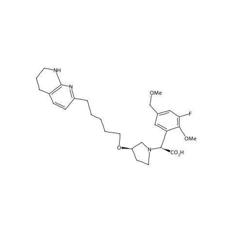 COCc1cc(F)c(OC)c([C@@H](C(=O)O)N2CC[C@@H](OCCCCCc3ccc4c(n3)NCCC4)C2)c1